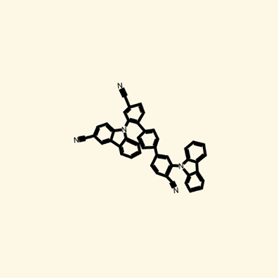 N#Cc1ccc(-c2ccc(-c3ccc(C#N)c(-n4c5ccccc5c5ccccc54)c3)cc2)c(-n2c3ccccc3c3cc(C#N)ccc32)c1